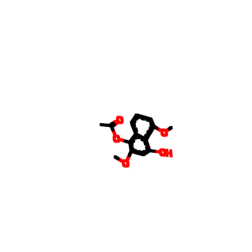 COc1cc(O)c2c(OC)cccc2c1OC(C)=O